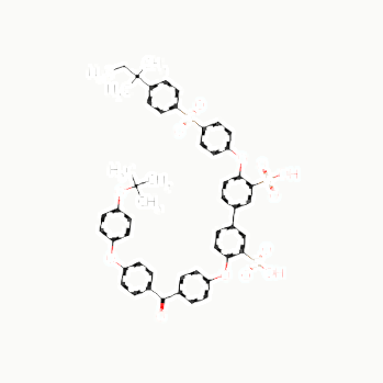 CCC(C)(C)c1ccc(S(=O)(=O)c2ccc(Oc3ccc(-c4ccc(Oc5ccc(C(=O)c6ccc(Oc7ccc(OC(C)(C)C)cc7)cc6)cc5)c(S(=O)(=O)O)c4)cc3S(=O)(=O)O)cc2)cc1